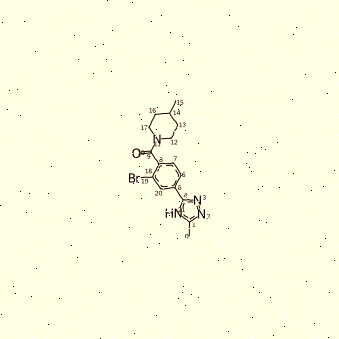 Cc1nnc(-c2ccc(C(=O)N3CCC(C)CC3)c(Br)c2)[nH]1